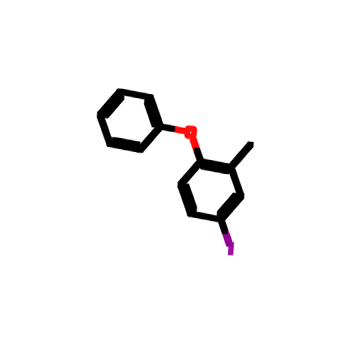 Cc1cc(I)ccc1Oc1ccccc1